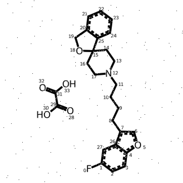 Fc1ccc2occ(CCCCN3CCC4(CC3)OCc3ccccc34)c2c1.O=C(O)C(=O)O